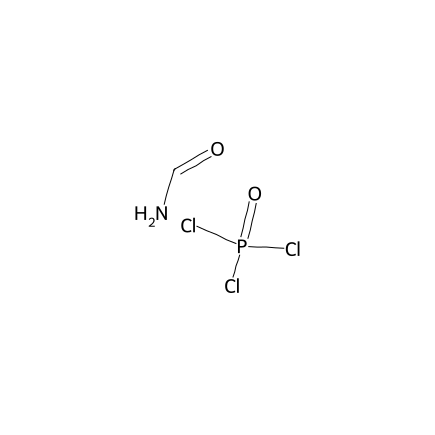 NC=O.O=P(Cl)(Cl)Cl